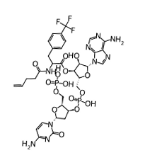 C=CCCC(=O)NC(Cc1ccc(C(F)(F)F)cc1)C(=O)O[C@H]1[C@@H](O)[C@H](n2cnc3c(N)ncnc32)O[C@@H]1COP(=O)(O)O[C@H]1C[C@H](n2ccc(N)nc2=O)O[C@H]1COP(=O)(O)O